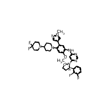 COc1cc(N2CCC(N3CCC(F)(F)CC3)CC2)c(-c2cnn(C)c2)cc1Nc1cc(N2OCC[C@@H]2c2cccc(F)c2F)ncn1